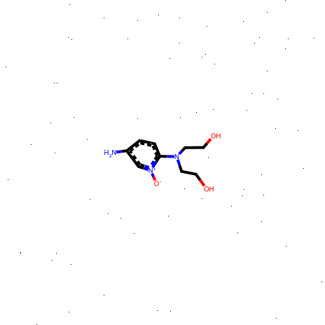 Nc1ccc(N(CCO)CCO)[n+]([O-])c1